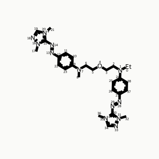 CCN(CCOCCN(C)c1ccc(N=Nc2n(C)nc[n+]2C)cc1)c1ccc(N=Nc2n(C)nc[n+]2C)cc1